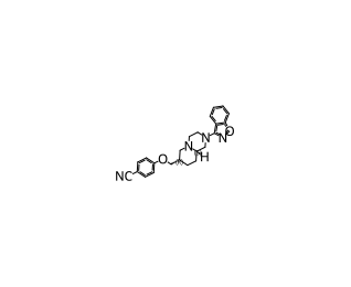 N#Cc1ccc(OC[C@@H]2CC[C@H]3CN(c4noc5ccccc45)CCN3C2)cc1